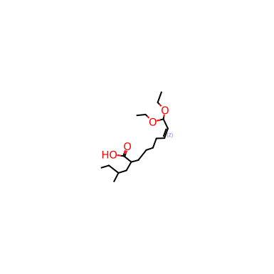 CCOC(/C=C\CCCCC(CC(C)CC)C(=O)O)OCC